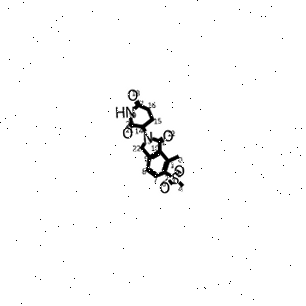 Cc1c(S(C)(=O)=O)ccc2c1C(=O)N(C1CCC(=O)NC1=O)C2